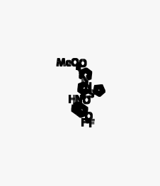 COC(=O)C[C@@H]1CCCN(c2ccc(C(=O)NC3C4CC5CC3CC(OC(F)F)(C5)C4)c(SC3CCCC3)n2)C1